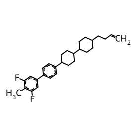 C=CCCC1CCC(C2CCC(c3ccc(-c4cc(F)c(C)c(F)c4)cc3)CC2)CC1